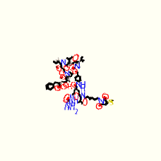 CC[C@H](C)C(C(CC(=O)N1CCC[C@H]1[C@H](OC)[C@@H](C)C(=O)C[C@@H](Cc1ccccc1)C(=O)O)OC)N(C)C(=O)[C@@H](CC(=O)[C@H](C(C)C)N(C)C(=O)OCc1ccc(NC(=O)[C@H](CCCNC(N)=O)CC(=O)C(NC(=O)CCCCCN2C(=O)CC(SC)C2=O)C(C)C)cc1)C(C)C